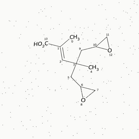 C/C(=C\C(C)(CC1CO1)CC1CO1)C(=O)O